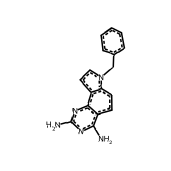 Nc1nc(N)c2ccc3c(ccn3Cc3ccccc3)c2n1